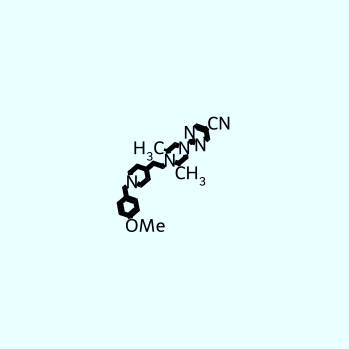 COc1ccc(CN2CCC(CCN3[C@H](C)CN(c4ncc(C#N)cn4)C[C@@H]3C)CC2)cc1